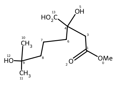 COC(=O)CC(O)(CCCC(C)(C)O)C(=O)O